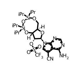 CC(C)[Si]1(C(C)C)OC[C@H]2O[C@@H](n3cc(C#N)c4c(N)ncnc43)[C@H](OS(=O)(=O)C(F)(F)F)[C@@H]2O[Si](C(C)C)(C(C)C)O1